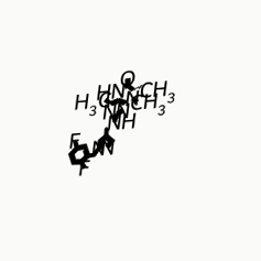 CC[C@H]1C(=O)Nc2c(C)nc(NCc3cnn(Cc4cc(F)ccc4F)c3)nc2N1C